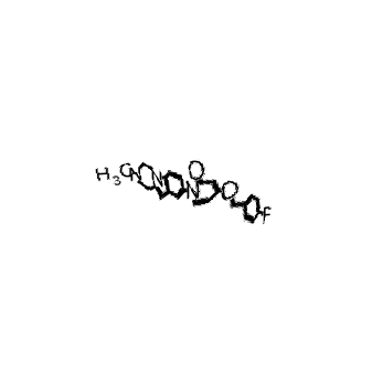 CN1CCc2cc3cc(-n4ccc(OCc5ccc(F)cc5)cc4=O)ccc3n2CC1